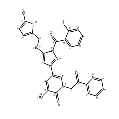 O=C(Cn1cc(-c2cc(NCc3ccc(Cl)s3)n(C(=O)c3ccccc3F)n2)cc(O)c1=O)c1ccccn1